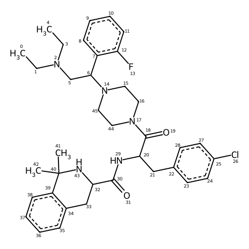 CCN(CC)CC(c1ccccc1F)N1CCN(C(=O)C(Cc2ccc(Cl)cc2)NC(=O)C2Cc3ccccc3C(C)(C)N2)CC1